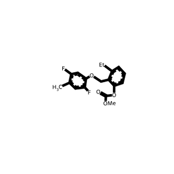 CCc1cccc(OC(=O)OC)c1COc1cc(F)c(C)cc1F